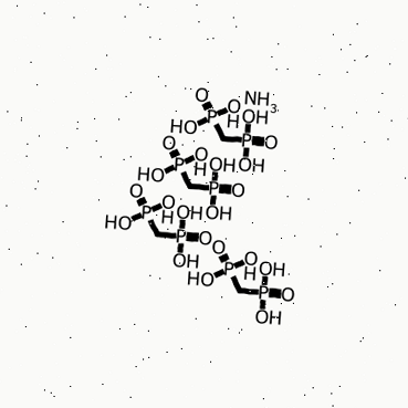 N.O=P(O)(O)CP(=O)(O)O.O=P(O)(O)CP(=O)(O)O.O=P(O)(O)CP(=O)(O)O.O=P(O)(O)CP(=O)(O)O